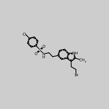 Cc1[nH]c2ccc(CCNS(=O)(=O)c3ccc(Cl)cc3)cc2c1CCBr